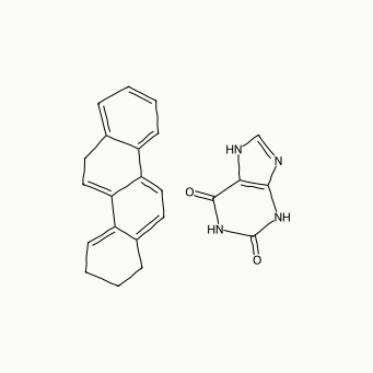 C1=c2c(ccc3c2=CCc2ccccc2-3)CCC1.O=c1[nH]c(=O)c2[nH]cnc2[nH]1